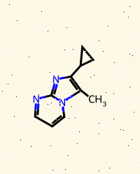 Cc1c(C2CC2)nc2ncccn12